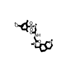 COc1cc(C)c(S(=O)(=O)N(C)CC(=O)NCC(=O)N(C)Cc2ccc3c(c2)CN(C)CC3)c(C)c1